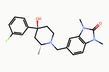 C[C@@H]1C[C@](O)(c2cccc(F)c2)CCN1Cc1ccc2c(c1)n(C)c(=O)n2C